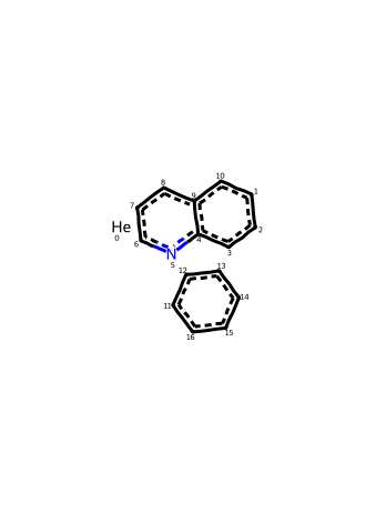 [He].c1ccc2ncccc2c1.c1ccccc1